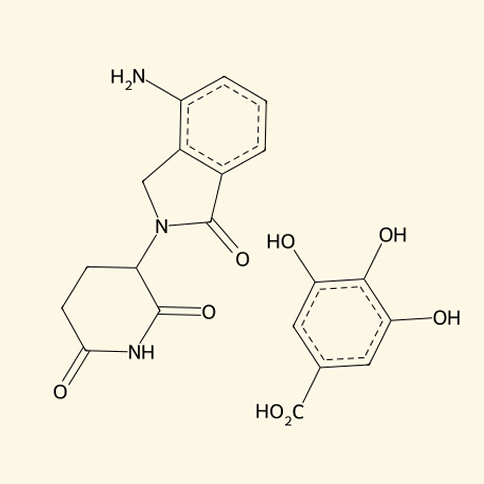 Nc1cccc2c1CN(C1CCC(=O)NC1=O)C2=O.O=C(O)c1cc(O)c(O)c(O)c1